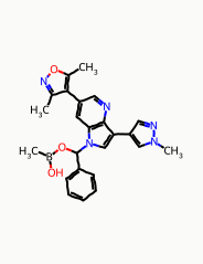 CB(O)OC(c1ccccc1)n1cc(-c2cnn(C)c2)c2ncc(-c3c(C)noc3C)cc21